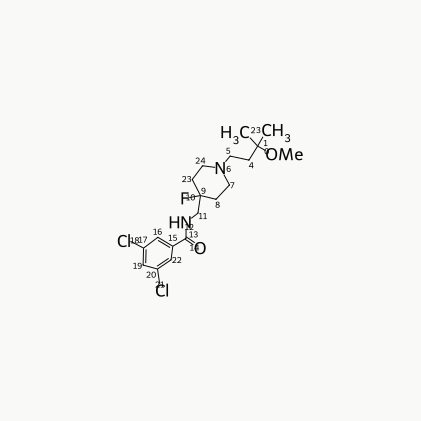 COC(C)(C)CCN1CCC(F)(CNC(=O)c2cc(Cl)cc(Cl)c2)CC1